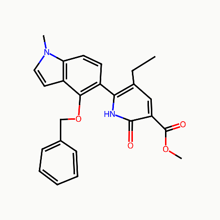 CCc1cc(C(=O)OC)c(=O)[nH]c1-c1ccc2c(ccn2C)c1OCc1ccccc1